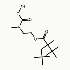 CN(CCOC(=O)C(C)(CC(C)(C)C)C(C)(C)C)C(=O)OS